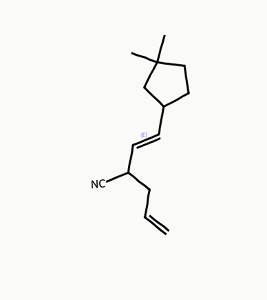 C=CCC(C#N)/C=C/C1CCC(C)(C)C1